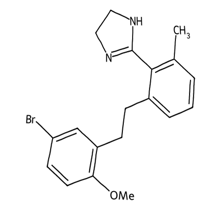 COc1ccc(Br)cc1CCc1cccc(C)c1C1=NCCN1